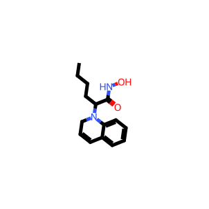 CCCCC(C(=O)NO)N1CC=Cc2ccccc21